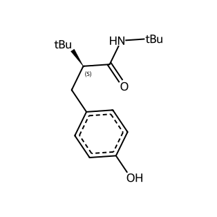 CC(C)(C)NC(=O)[C@@H](Cc1ccc(O)cc1)C(C)(C)C